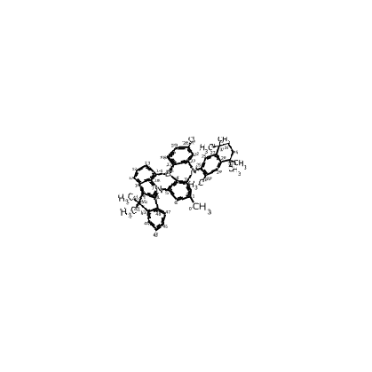 Cc1cc2c3c(c1)-n1c4c(c5cccc(c51)B3c1ccc(Cl)cc1N2c1cc2c(cc1C)C(C)(C)CCC2(C)C)C(C)(C)c1ccccc1-4